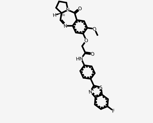 COc1cc2c(cc1OCC(=O)Nc1ccc(-c3nc4ccc(F)cc4s3)cc1)N=C[C@@H]1CCCN1C2=O